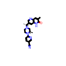 Cc1cc2ncc([C@@H](C)N3CCN(c4ccc(C#N)cn4)[C@H](C)C3)cc2[nH]c1=O